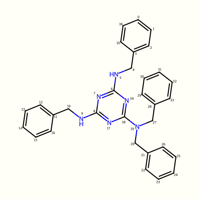 c1ccc(CNc2nc(NCc3ccccc3)nc(N(Cc3ccccc3)Cc3ccccc3)n2)cc1